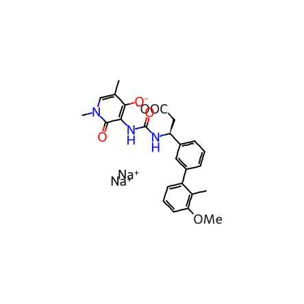 COc1cccc(-c2cccc([C@H](CC(=O)[O-])NC(=O)Nc3c([O-])c(C)cn(C)c3=O)c2)c1C.[Na+].[Na+]